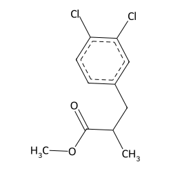 COC(=O)C(C)Cc1ccc(Cl)c(Cl)c1